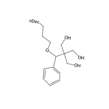 CCCCCCCCCCCCCOC(c1ccccc1)C(CO)(CO)CO